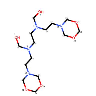 OCN(CCN(CO)CCN1COCOC1)CCN1COCOC1